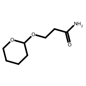 NC(=O)CCOC1CCCCO1